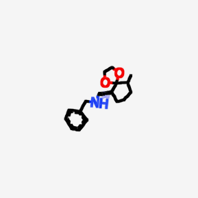 CC1CCC/C(=C\NCc2ccccc2)C12OCCO2